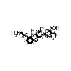 CC(O[C@H](CO)[C@@H](O)CF)n1cc2c(nc1=O)Nc1c(OCCN)cccc1O2